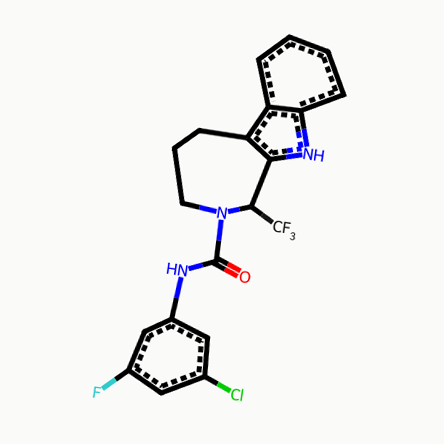 O=C(Nc1cc(F)cc(Cl)c1)N1CCCc2c([nH]c3ccccc23)C1C(F)(F)F